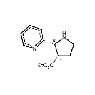 CCOC(=O)[C@H]1CCN[C@H]1c1ccccn1